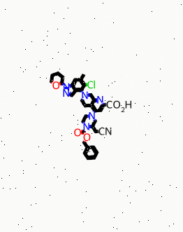 Cc1cc2c(cnn2C2CCCCO2)c(N2CCc3c(N4CCN(C(=O)OCc5ccccc5)C(CC#N)C4)cc(C(=O)O)nc3C2)c1Cl